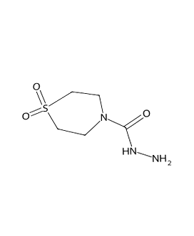 NNC(=O)N1CCS(=O)(=O)CC1